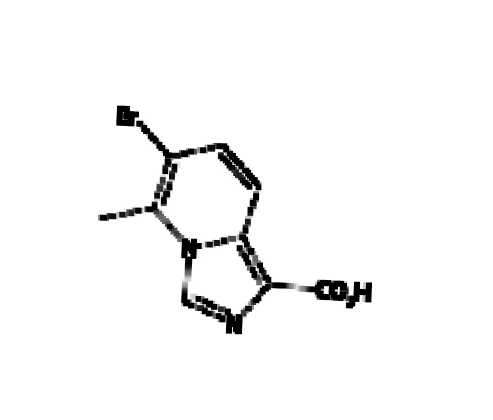 Cc1c(Br)ccc2c(C(=O)O)ncn12